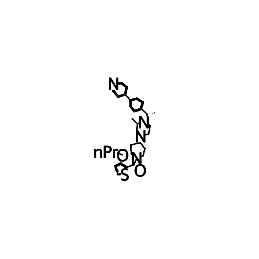 CCCOc1ccsc1C(=O)N1CCC(N2CCN([C@@H](C)c3ccc(-c4ccncc4)cc3)[C@H](C)C2)CC1